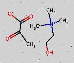 CC(=O)C(=O)[O-].C[N+](C)(C)CCO